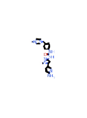 CN1CCN(Cc2ccc(NC(=O)Nc3cc(-c4ccc(N)nc4)n(C)n3)cc2)CC1